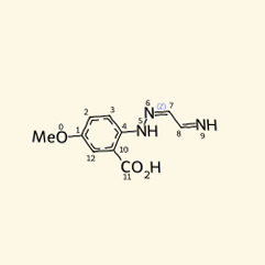 COc1ccc(N/N=C\C=N)c(C(=O)O)c1